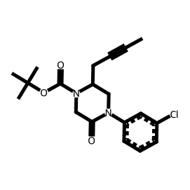 CC#CCC1CN(c2cccc(Cl)c2)C(=O)CN1C(=O)OC(C)(C)C